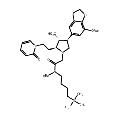 CCCCN(CCCC[N+](C)(C)C)C(=O)CN1C[C@H](c2cc(OC)c3c(c2)OCO3)[C@@H](C(=O)O)[C@@H]1CCn1ccccc1=O